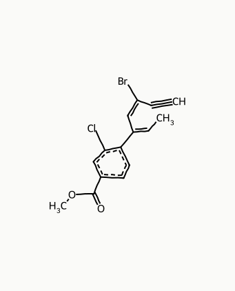 C#C/C(Br)=C\C(=C/C)c1ccc(C(=O)OC)cc1Cl